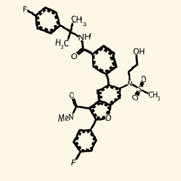 CNC(=O)c1c(-c2ccc(F)cc2)oc2cc(N(CCO)S(C)(=O)=O)c(-c3cccc(C(=O)NC(C)(C)c4ccc(F)cc4)c3)cc12